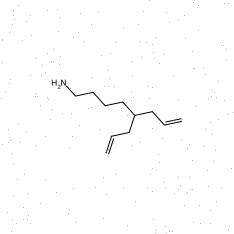 C=CCC(CC=C)CCCCN